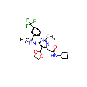 Cc1nc(CC(=O)NC2CCCC2)c(C2OCCO2)c(N[C@H](C)c2cccc(C(F)(F)F)c2)n1